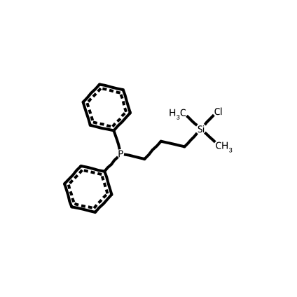 C[Si](C)(Cl)CCCP(c1ccccc1)c1ccccc1